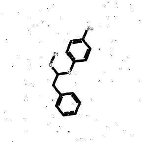 CCOC(Cc1ccccc1)Oc1ccc(C(C)CC)cc1